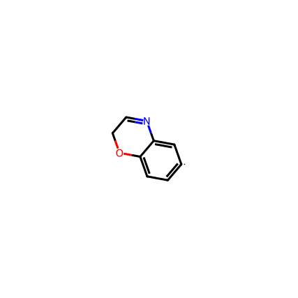 [c]1ccc2c(c1)N=CCO2